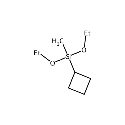 CCO[Si](C)(OCC)C1CCC1